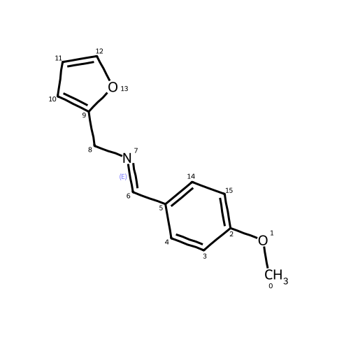 COc1ccc(/C=N/Cc2ccco2)cc1